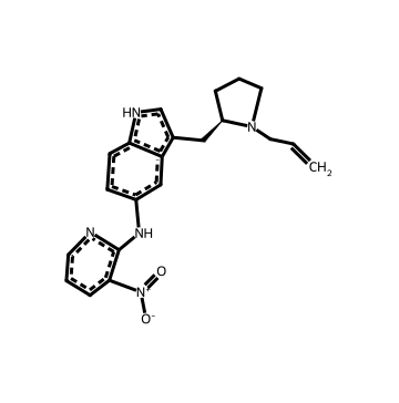 C=CCN1CCC[C@@H]1Cc1c[nH]c2ccc(Nc3ncccc3[N+](=O)[O-])cc12